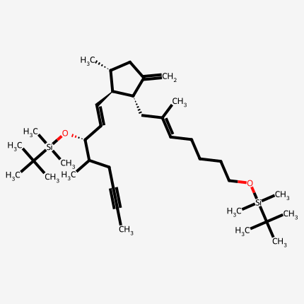 C=C1C[C@@H](C)[C@H](/C=C/[C@@H](O[Si](C)(C)C(C)(C)C)C(C)CC#CC)[C@H]1C/C(C)=C/CCCCO[Si](C)(C)C(C)(C)C